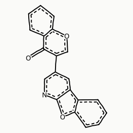 O=c1c(-c2cnc3oc4ccccc4c3c2)coc2ccccc12